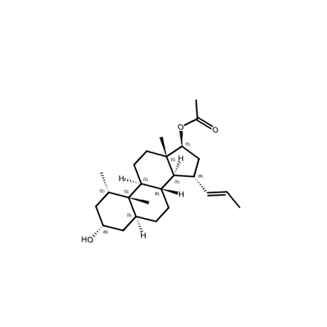 CC=C[C@H]1C[C@H](OC(C)=O)[C@@]2(C)CC[C@H]3[C@@H](CC[C@H]4C[C@H](O)C[C@H](C)[C@@]43C)[C@H]12